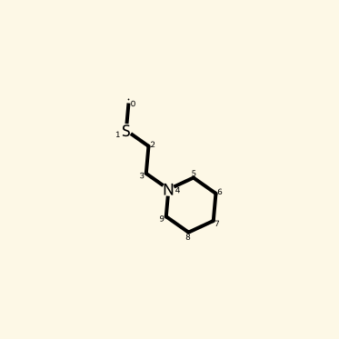 [CH2]SCCN1CCCCC1